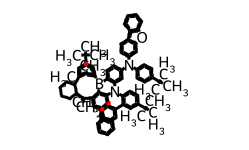 C=C1c2cc(-c3ccccc3)cc3c2B(c2ccc(N(c4ccc(C(C)(C)C)cc4)c4ccc5c(c4)oc4ccccc45)cc2N3c2ccc(C(C)(C)C)cc2-c2ccccc2)c2cc(C(C)(C)C)cc(c2C)C2(C)CCCCC12C